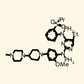 CCc1cnc(N(P)c2ccc(N3CCC(N4CCN(C)CC4)CC3)cc2OC)nc1N(P)c1ccccc1S(=O)(=O)C(C)C